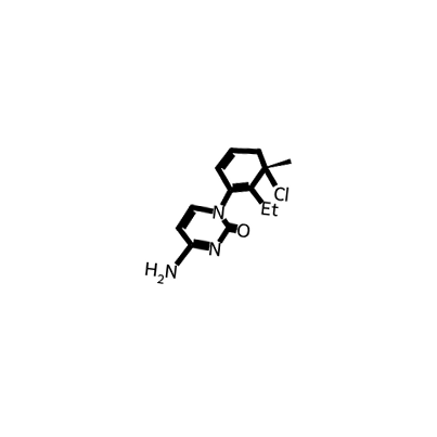 CCC1=C(n2ccc(N)nc2=O)C=CC[C@]1(C)Cl